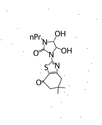 CCCN1C(=O)N(c2nc3c(s2)C(=O)CC(C)(C)C3)C(O)C1O